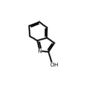 OC1=CC2=C[C]=CCC2=N1